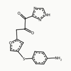 Nc1ccc(Sc2coc(CC(=O)C(=O)c3nc[nH]n3)c2)cc1